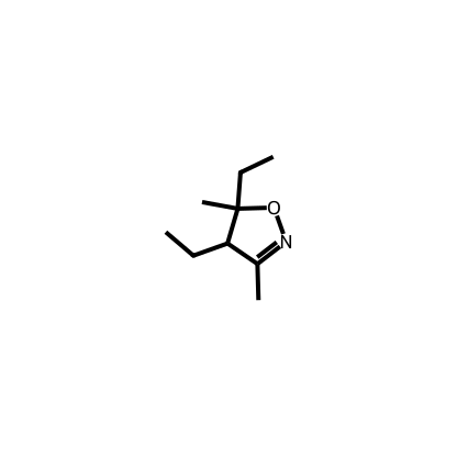 CCC1C(C)=NOC1(C)CC